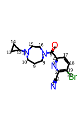 N#Cc1nc(C(=O)N2CCCN(C3CC3)CC2)ccc1Br